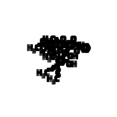 CCCCN(CCCC)c1cc(O)c(C2=C(O)/C(=C3\C=C(NC(=O)c4ccccc4)C(=O)C=C3NC(=O)C(CC)Oc3ccc(C(C)(C)CC)cc3C(C)(C)CC)C2=O)c(CO)c1